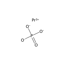 O=P([O-])([O-])[O-].[Pr+3]